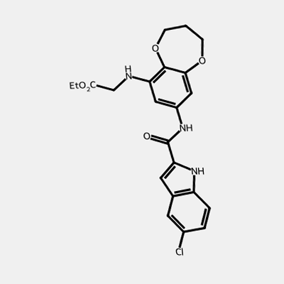 CCOC(=O)CNc1cc(NC(=O)c2cc3cc(Cl)ccc3[nH]2)cc2c1OCCCO2